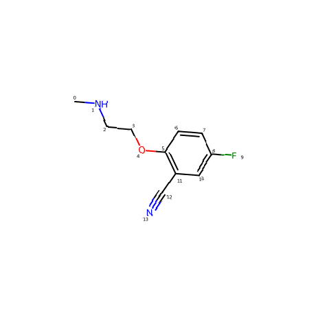 CNCCOc1ccc(F)cc1C#N